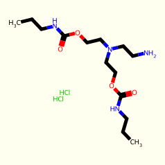 CCCNC(=O)OCCN(CCN)CCOC(=O)NCCC.Cl.Cl